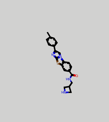 Cc1ccc(-c2cn3c(n2)sc2cc(C(=O)NCC4CNC4)ccc23)cc1